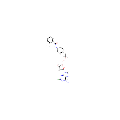 CCOC(=O)C(Cc1ccc(NC(=O)c2ccccc2OC)cc1)(OC[C@H]1O[C@@H](n2cnc3c(N)nc(Cl)nc32)[C@@H](F)[C@@H]1O)C(=O)OCC